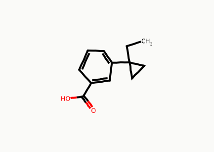 CCC1(c2cccc(C(=O)O)c2)CC1